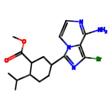 COC(=O)C1CC(c2nc(Br)c3c(N)nccn23)CCC1C(C)C